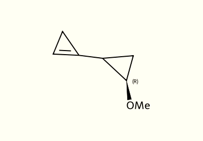 CO[C@@H]1CC1C1=CC1